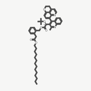 CCCCCCCCCCCCCCOC(=O)Cc1ccccc1COC(=O)[C@@H](OC(C)(C)C)c1c(C)nc2ccccc2c1-c1ccc2c3c(ccnc13)CCO2